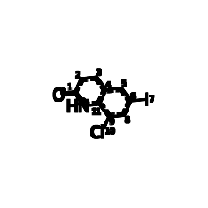 O=c1ccc2cc(I)cc(Cl)c2[nH]1